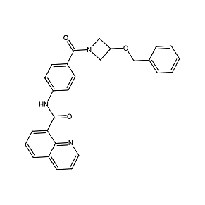 O=C(Nc1ccc(C(=O)N2CC(OCc3ccccc3)C2)cc1)c1cccc2cccnc12